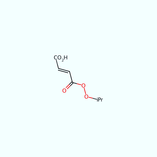 CC(C)OOC(=O)C=CC(=O)O